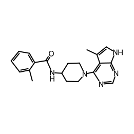 Cc1ccccc1C(=O)NC1CCN(c2ncnc3[nH]cc(C)c23)CC1